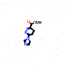 COC(=O)c1ccc(-n2ccnc2)nn1